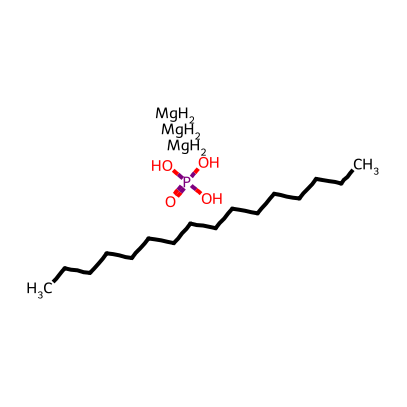 CCCCCCCCCCCCCCCC.O=P(O)(O)O.[MgH2].[MgH2].[MgH2]